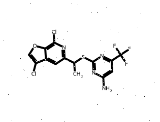 CC(Sc1nc(N)cc(C(F)(F)F)n1)c1cc2c(Cl)coc2c(Cl)n1